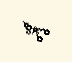 NN1Cn2cc(F)nc2C=C1[C@@H]1O[C@H](COCc2ccccc2)[C@@H](OCc2ccccc2)[C@H]1F